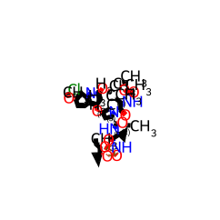 CCCC1(OS(=O)(=O)NC(=O)[C@@]2(NC(=O)[C@@H]3C[C@@H](Oc4cc(OCC)nc5c(Cl)c(OC)ccc45)CN3C(=O)[C@@H](NC(=O)OC(C)(C)C)C(C)(C)C)C[C@H]2CC)CC1